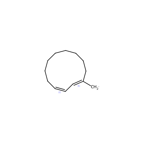 [CH2]/C1=C\C=C/CCCCCCCC1